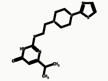 CC(C)c1cc(=O)[nH]c(SCCN2CCN(c3nccs3)CC2)n1